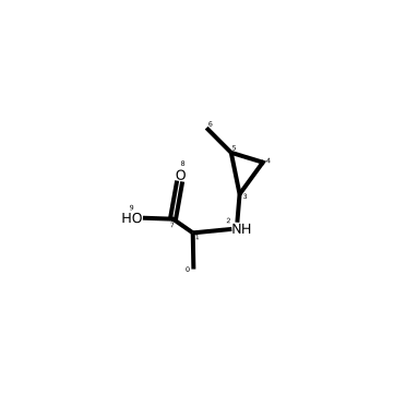 CC(NC1CC1C)C(=O)O